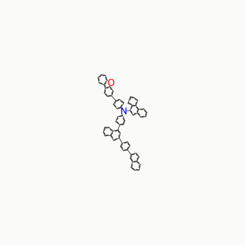 c1ccc2cc(-c3ccc(-c4cc(-c5ccc(N(c6ccc(-c7ccc8c(c7)oc7ccccc78)cc6)c6cc7ccccc7c7ccccc67)cc5)c5ccccc5c4)cc3)ccc2c1